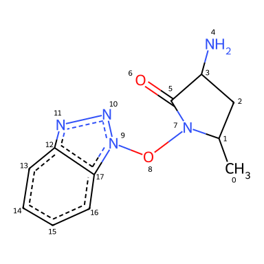 CC1CC(N)C(=O)N1On1nnc2ccccc21